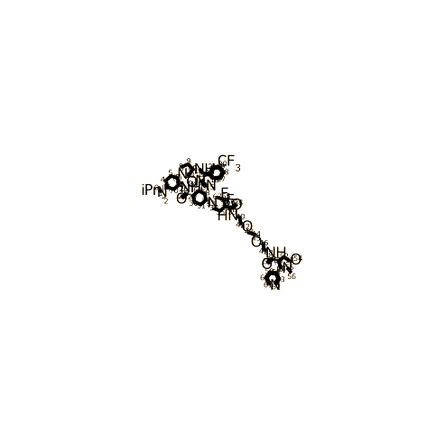 CC(C)N(C)[C@@H]1CC[C@H](N2CC[C@H](Nc3ncnc4ccc(C(F)(F)F)cc34)C2=O)[C@H](NC(=O)[C@H]2CC[C@@H](N3CCC(C(=O)NCCOCCOCCNC(=O)[C@H]4CC(=O)N(C)[C@@H]4c4cccnc4)C(F)(F)C3)CC2)C1